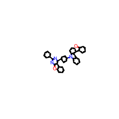 c1ccc(-c2nc(-c3ccc(-n4c5ccccc5c5c6c(ccc54)oc4ccccc46)cc3)c3c(n2)oc2ccccc23)cc1